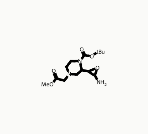 COC(=O)CN1CCN(C(=O)OC(C)(C)C)C(C2OC2N)C1